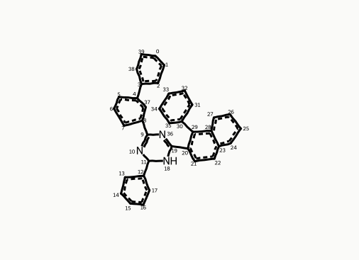 c1ccc(-c2cccc(C3=NC(c4ccccc4)NC(c4ccc5ccccc5c4-c4ccccc4)=N3)c2)cc1